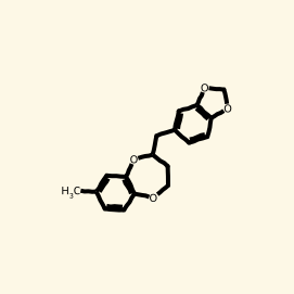 Cc1ccc2c(c1)OC(Cc1ccc3c(c1)OCO3)CCO2